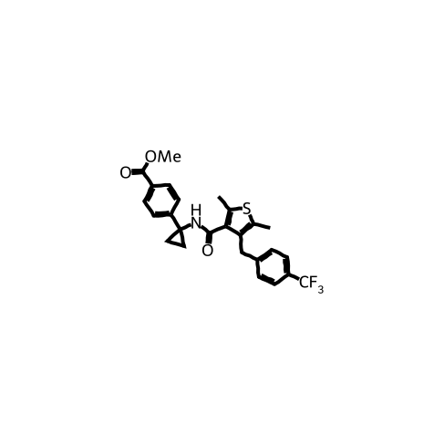 COC(=O)c1ccc(C2(NC(=O)c3c(C)sc(C)c3Cc3ccc(C(F)(F)F)cc3)CC2)cc1